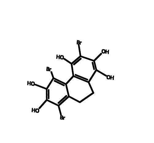 Oc1c(O)c2c(c(O)c1Br)-c1c(Br)c(O)c(O)c(Br)c1CC2